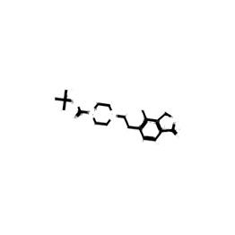 Cc1c(CCN2CCN(C(=O)OC(C)(C)C)CC2)ccc2c1COC2=O